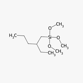 CCCC(CC)C[Si](OC)(OC)OC